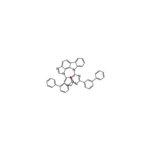 c1ccc(-c2cccc(-c3nc(-c4cccc(-c5ccccc5)c4)nc(-n4c5ccccc5c5ccc6ncn(-c7ccccc7)c6c54)n3)c2)cc1